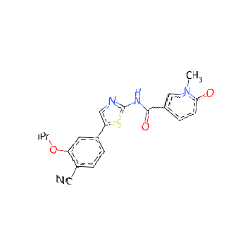 CC(C)Oc1cc(-c2cnc(NC(=O)c3ccc(=O)n(C)c3)s2)ccc1C#N